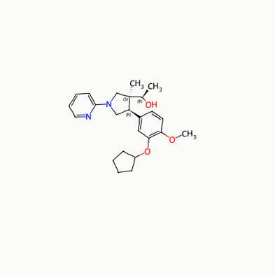 COc1ccc([C@H]2CN(c3ccccn3)C[C@@]2(C)[C@@H](C)O)cc1OC1CCCC1